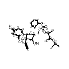 C#C[C@@]1(N)C(O)[C@@H](COP(=O)(Oc2ccccc2)OC(C)C(=O)OC(C)C)O[C@H]1n1cnc(=O)[nH]c1=O